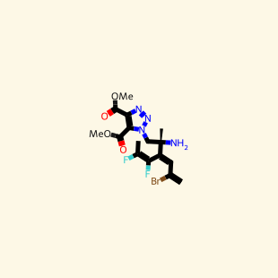 C=C(Br)/C=C(\C(F)=C(/C)F)[C@@](C)(N)Cn1nnc(C(=O)OC)c1C(=O)OC